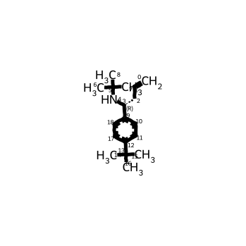 C=CC[C@@H](NC(C)(C)C)c1ccc(C(C)(C)C)cc1